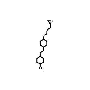 CC1CCC(CCC2CCC(OCOCC3CO3)CC2)CC1